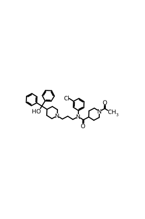 CC(=O)N1CCC(C(=O)N(CCCN2CCC(C(O)(c3ccccc3)c3ccccc3)CC2)c2cccc(Cl)c2)CC1